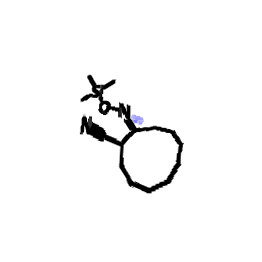 C[Si](C)(C)O/N=C1/CCCCCCCCC1C#N